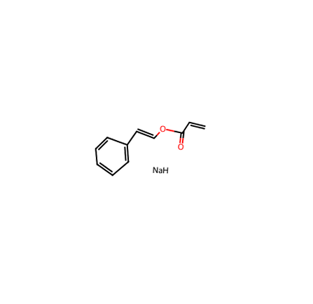 C=CC(=O)OC=Cc1ccccc1.[NaH]